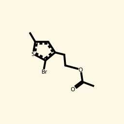 CC(=O)OCCc1cc(C)sc1Br